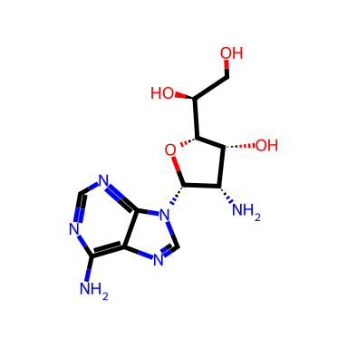 Nc1ncnc2c1ncn2[C@@H]1O[C@H]([C@@H](O)CO)[C@H](O)[C@@H]1N